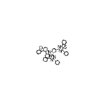 c1ccc(-c2nc(-c3ccccc3)nc(-c3cc(-c4nc(-c5ccccc5)c5sc6ccccc6c5n4)ccc3-n3c4ccccc4c4c5c(ccc43)oc3ccccc35)n2)cc1